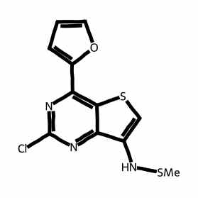 CSNc1csc2c(-c3ccco3)nc(Cl)nc12